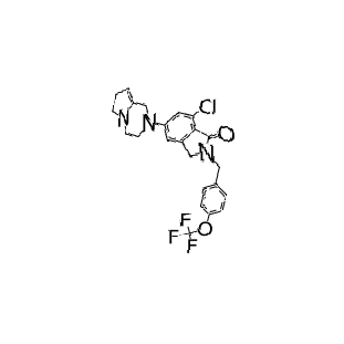 O=C1c2c(Cl)cc(N3CCN4CCC=C4C3)cc2CN1Cc1ccc(OC(F)(F)F)cc1